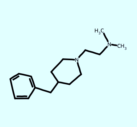 CN(C)CCN1CCC(Cc2ccccc2)CC1